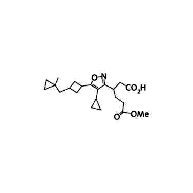 COC(=O)CCC(CC(=O)O)c1noc(C2CC(CC3(C)CC3)C2)c1C1CC1